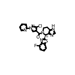 O=C(c1cn(-c2ccccn2)nc1Cl)N1CCc2[nH]cnc2[C@H]1c1nc2c(F)cccc2s1